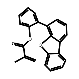 C=C(C)C(=O)Oc1ccccc1-c1cccc2c1oc1ccccc12